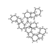 c1ccc2c(c1)oc1ccc3oc4cccc(-c5ccc(N(c6cccc7c6sc6ccccc67)c6cccc7c6sc6ccccc67)cc5)c4c3c12